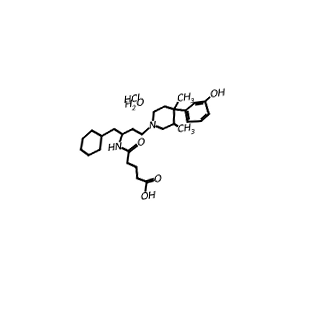 CC1CN(CCC(CC2CCCCC2)NC(=O)CCCC(=O)O)CCC1(C)c1cccc(O)c1.Cl.O